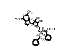 CCOC(=O)[C@@H](NP(=O)(N[C@@H](C(=O)OCC)c1ccccc1)OC[C@H]1O[C@@H](n2cnc3c(OC)nc(C)nc32)[C@@](C)(O)C1O)c1ccccc1